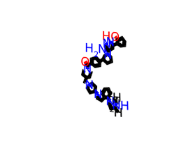 [2H]C1C=CN(c2cccc3c2ccn3C2CCN(CC3CCN(C(=O)c4ccc(C5CCCN(c6cc(-c7ccccc7O)nnc6N)C5)cc4)CC3)CC2)[C@@H]([2H])N1